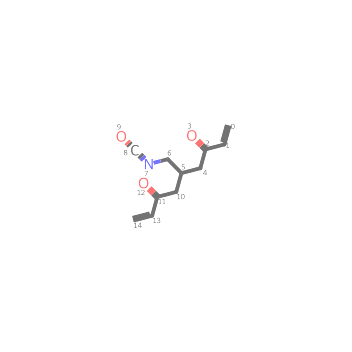 C=CC(=O)CC(CN=C=O)CC(=O)C=C